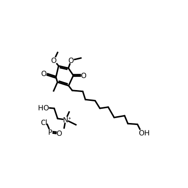 COC1=C(OC)C(=O)C(CCCCCCCCCCO)=C(C)C1=O.C[N+](C)(C)CCO.O=PCl